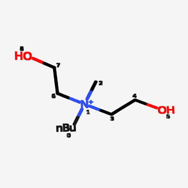 CCCC[N+](C)(CCO)CCO